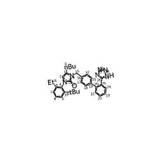 CCCCc1cn(-c2c(CC)cccc2C(C)(C)C)c(=O)n1Cc1ccc(-c2ccccc2-c2nnn[nH]2)cc1